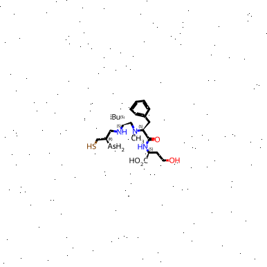 CC[C@H](C)[C@@H](CN(C)[C@@H](Cc1ccccc1)C(=O)N[C@@H](CCO)C(=O)O)NC[C@@H]([AsH2])CS